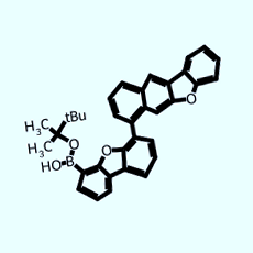 CC(C)(C)C(C)(C)OB(O)c1cccc2c1oc1c(-c3cccc4cc5c(cc34)oc3ccccc35)cccc12